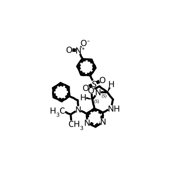 CC(C)N(Cc1ccccc1)c1ncnc2c1[C@@H]1OC[C@H](CN2)N1S(=O)(=O)c1ccc([N+](=O)[O-])cc1